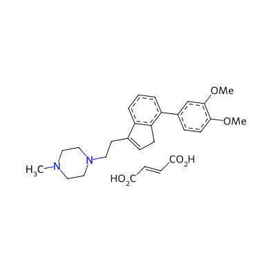 COc1ccc(-c2cccc3c2CC=C3CCN2CCN(C)CC2)cc1OC.O=C(O)C=CC(=O)O